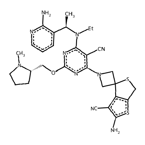 CCN(c1nc(OC[C@@H]2CCCN2C)nc(N2CC3(C2)SCc2sc(N)c(C#N)c23)c1C#N)[C@H](C)c1cccnc1N